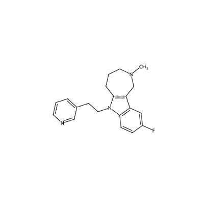 CN1CCCc2c(c3cc(F)ccc3n2CCc2cccnc2)C1